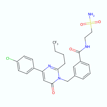 NS(=O)(=O)CCNC(=O)c1cccc(Cn2c(CCCC(F)(F)F)nc(-c3ccc(Cl)cc3)cc2=O)c1